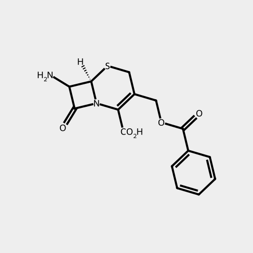 NC1C(=O)N2C(C(=O)O)=C(COC(=O)c3ccccc3)CS[C@H]12